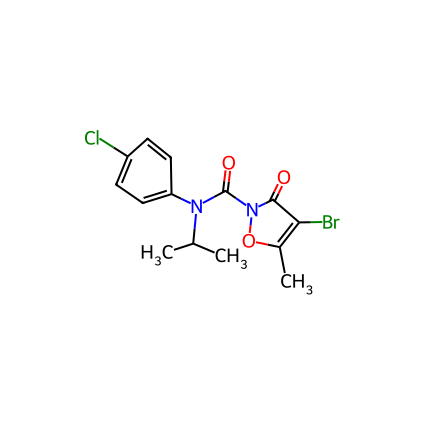 Cc1on(C(=O)N(c2ccc(Cl)cc2)C(C)C)c(=O)c1Br